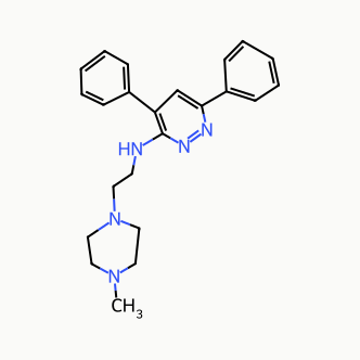 CN1CCN(CCNc2nnc(-c3ccccc3)cc2-c2ccccc2)CC1